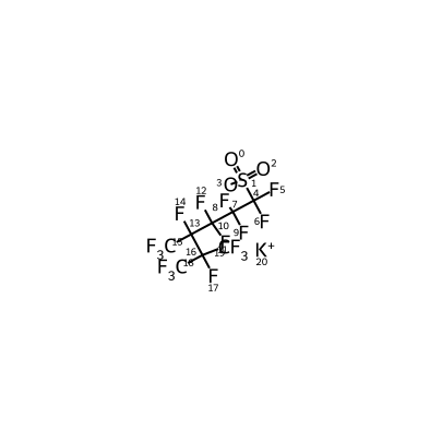 O=S(=O)([O-])C(F)(F)C(F)(F)C(F)(F)C(F)(C(F)(F)F)C(F)(C(F)(F)F)C(F)(F)F.[K+]